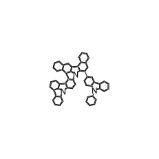 c1ccc(-n2c3ccccc3c3cc(-c4cc5ccccc5c5c6cc7ccccc7c7c8c9c%10cccc%11c%12ccccc%12n(c9ccc8n(c45)c67)c%11%10)ccc32)cc1